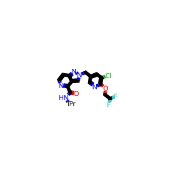 CC(C)NC(=O)c1nccc2nn(Cc3cnc(OCC(F)F)c(Cl)c3)cc12